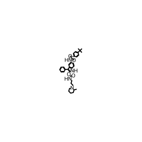 CC1CCCCN1CCCNC(=O)Oc1[nH]c2ccc(NS(=O)(=O)c3ccc(C(C)(C)C)cc3)cc2c1-c1ccccc1